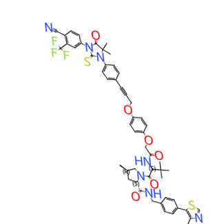 Cc1ncsc1-c1ccc(CNC(=O)[C@@H]2C[C@@H](C)CN2C(=O)[C@@H](NC(=O)COc2ccc(OCC#Cc3ccc(N4C(=S)N(c5ccc(C#N)c(C(F)(F)F)c5)C(=O)C4(C)C)cc3)cc2)C(C)(C)C)cc1